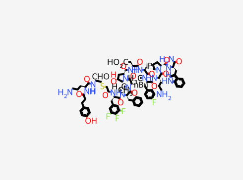 CCCC[C@@H](C(=O)N1C[C@@H](O)C[C@@H]1C(=O)N[C@@H](CC(=O)O)C(=O)N[C@H](C(=O)N(C)[C@@H](Cc1ccc(F)cc1)C(=O)N[C@@H](CCCN)C(=O)N1CCC[C@@H]1C(=O)N[C@@H](Cc1c[nH]c2ccccc12)C(N)=O)C(C)C)N(C)C(=O)[C@H](Cc1ccccc1)N(C)C(=O)[C@H](Cc1cc(F)c(F)c(F)c1)NC(=O)CSC[C@@H](C=O)NC(=O)[C@H](CCCN)NC(=O)CCc1ccc(O)cc1